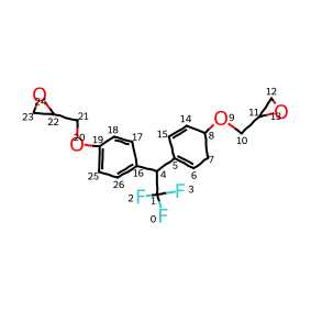 FC(F)(F)C(C1=CCC(OCC2CO2)C=C1)c1ccc(OCC2CO2)cc1